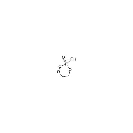 O=P1(O)OCCOO1